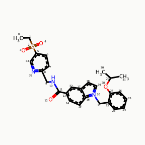 CCS(=O)(=O)c1ccc(CNC(=O)c2ccc3c(ccn3Cc3ccccc3OC(C)C)c2)nc1